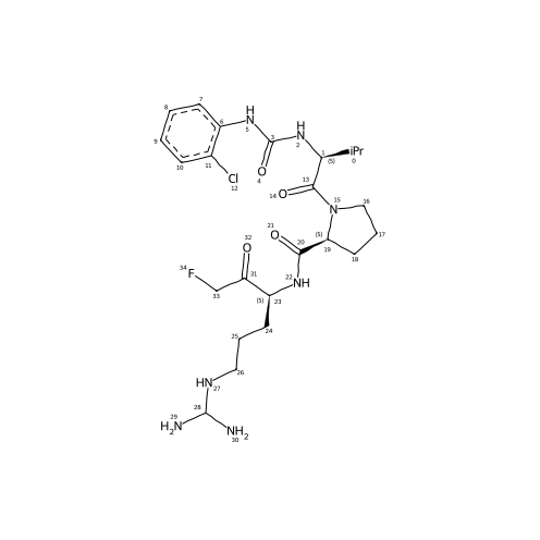 CC(C)[C@H](NC(=O)Nc1ccccc1Cl)C(=O)N1CCC[C@H]1C(=O)N[C@@H](CCCNC(N)N)C(=O)CF